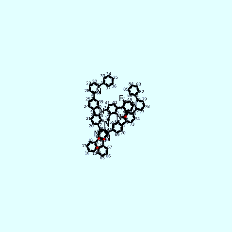 N#Cc1c(-n2c3cc(-c4cccc(-c5ccccc5)n4)ccc3c3ccc(-c4cccc(-c5ccccc5)n4)cc32)ccc(-c2c(F)cccc2F)c1-n1c2cc(-c3cccc(-c4ccccc4)n3)ccc2c2ccc(-c3cccc(-c4ccccc4)n3)cc21